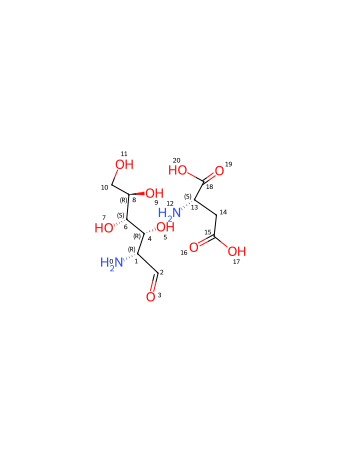 N[C@@H](C=O)[C@@H](O)[C@H](O)[C@H](O)CO.N[C@@H](CC(=O)O)C(=O)O